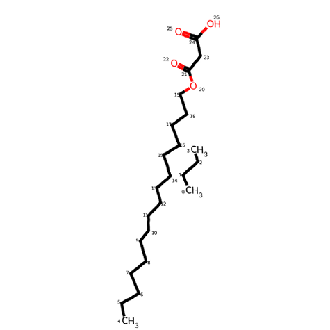 CCCC.CCCCCCCCCCCCCCCCOC(=O)CC(=O)O